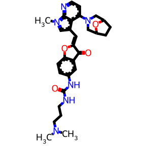 CN(C)CCCNC(=O)Nc1ccc2c(c1)C(=O)/C(=C/c1cn(C)c3nccc(N4CC5CCC(C4)O5)c13)O2